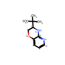 CC(C)(C)C1COc2cccnc2N1